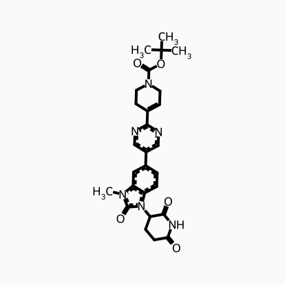 Cn1c(=O)n(C2CCC(=O)NC2=O)c2ccc(-c3cnc(C4=CCN(C(=O)OC(C)(C)C)CC4)nc3)cc21